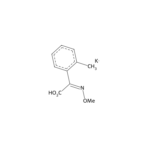 CON=C(C(=O)O)c1ccccc1C.[K]